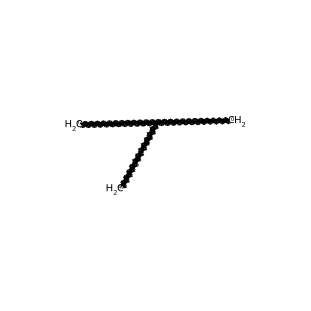 C=CCCCCCCCCCCCCCCCCCCCCCCCC(CCCCCCCCCCCCCCCCCCCCCCC=C)CCCCCCCCCCCCCCCCCCCCCCCC=C